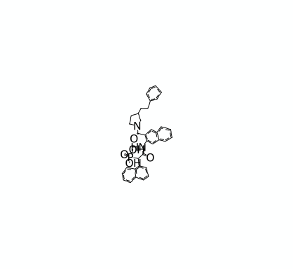 O=C(Nc1cc2ccccc2cc1C(=O)N1CCC(CCc2ccccc2)C1)C(c1cccc2ccccc12)P(=O)(O)O